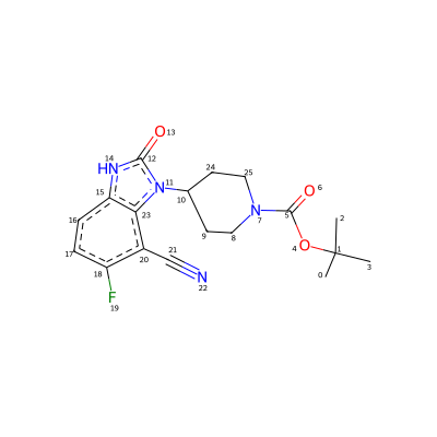 CC(C)(C)OC(=O)N1CCC(n2c(=O)[nH]c3ccc(F)c(C#N)c32)CC1